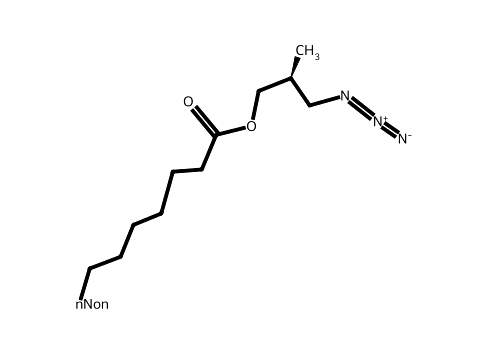 CCCCCCCCCCCCCCCC(=O)OC[C@@H](C)CN=[N+]=[N-]